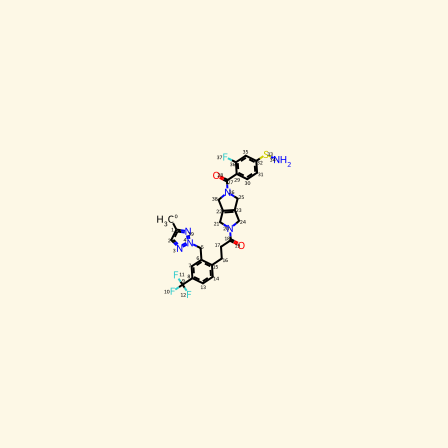 Cc1cnn(Cc2cc(C(F)(F)F)ccc2CCC(=O)N2CC3=C(C2)CN(C(=O)c2ccc(SN)cc2F)C3)n1